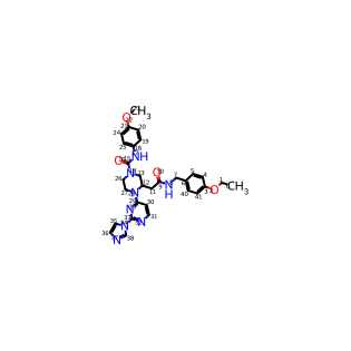 CCOc1ccc(CNC(=O)CC2CN(C(=O)Nc3ccc(OC)cc3)CCN2c2ccnc(-n3ccnc3)n2)cc1